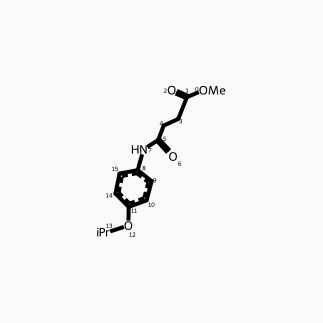 COC(=O)CCC(=O)Nc1ccc(OC(C)C)cc1